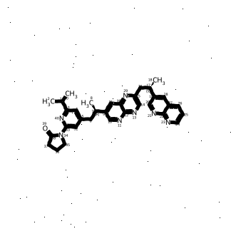 CC(C)c1cc(C[C@@H](C)c2cnc3ncc(C[C@H](C)c4cnc5ncccc5c4)nc3c2)cc(N2CCCC2=O)n1